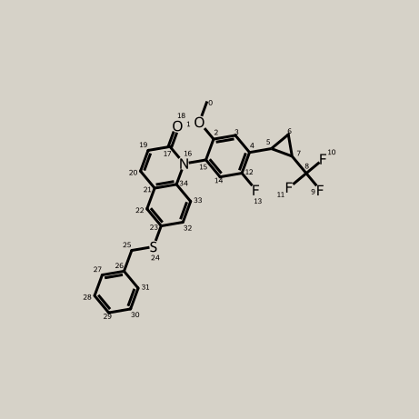 COc1cc(C2CC2C(F)(F)F)c(F)cc1-n1c(=O)ccc2cc(SCc3ccccc3)ccc21